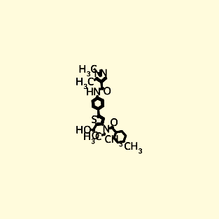 Cc1c(C(=O)Nc2ccc(-c3cc(N(C(=O)C4CCC(C)CC4)C(C)C)c(C(=O)O)s3)cc2)cnn1C